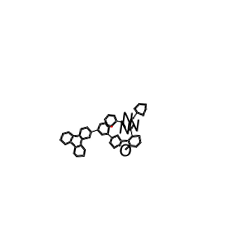 c1ccc(-c2nc(-c3ccccc3)nc(-c3cccc4oc5ccc(-c6cccc(-c7ccc8c9ccccc9c9ccccc9c8c7)c6)cc5c34)n2)cc1